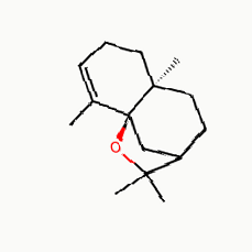 CC1=CCC[C@@]2(C)CCC3C[C@]12OC3(C)C